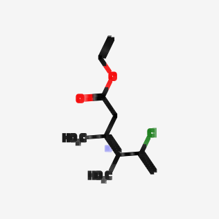 C=COC(=O)C/C(C(=O)O)=C(\C(=C)Cl)C(=O)O